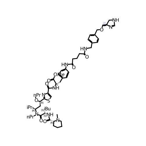 CCCO[C@H](C[C@H](C(C)C)N(CCC)C(=O)[C@@H](NC(=O)[C@H]1CCCCN1C)[C@@H](C)CC)c1nc(C(=O)N[C@@H](Cc2ccc(NC(=O)CCCC(=O)NCc3ccc(CO/C=C4/CNC=N4)cc3)cc2)C(=O)OC)cs1